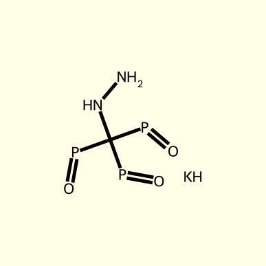 NNC(P=O)(P=O)P=O.[KH]